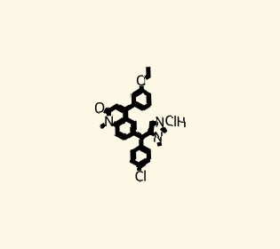 CCOc1cccc(-c2cc(=O)n(C)c3ccc(C(c4ccc(Cl)cc4)c4cncn4C)cc23)c1.Cl